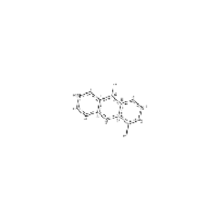 Cc1cncc2c(C)c3cnccc3cc12